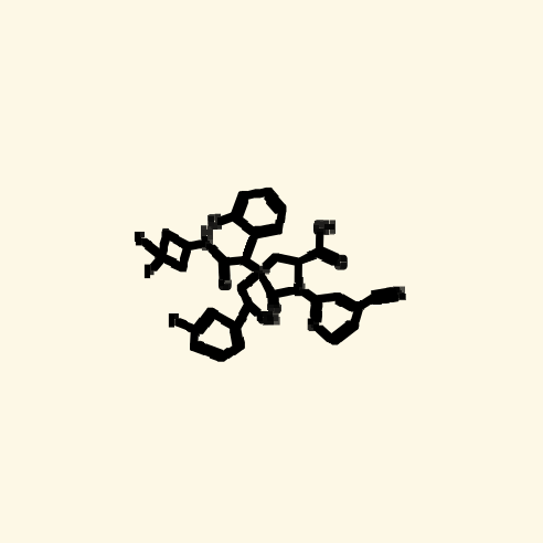 N#Cc1ccnc(N2C(=O)[N+](CC(O)c3cccc(F)c3)(C(C(=O)NC3CC(F)(F)C3)c3ccccc3Cl)C[C@H]2C(=O)O)c1